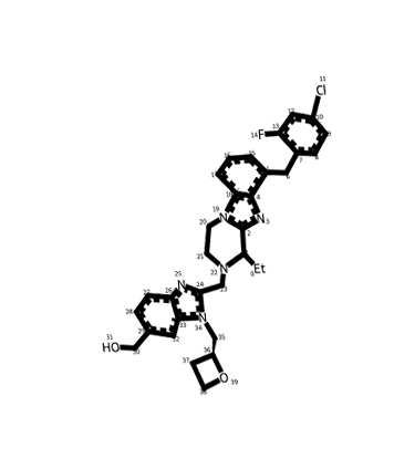 CCC1c2nc3c(Cc4ccc(Cl)cc4F)cccc3n2CCN1Cc1nc2ccc(CO)cc2n1C[C@@H]1CCO1